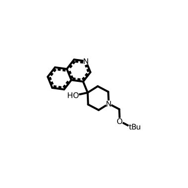 CC(C)(C)OCN1CCC(O)(c2cncc3ccccc23)CC1